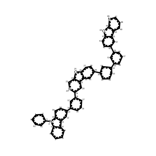 c1ccc(-n2c3ccccc3c3cc(-c4cccc(-c5cc6c(cn5)oc5ccc(-c7cccc(-c8cccc(-c9ccc%10oc%11ncccc%11c%10c9)c8)c7)cc56)c4)ccc32)cc1